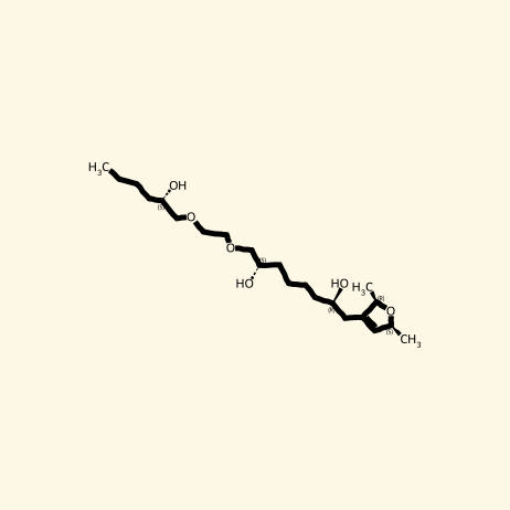 CCCC[C@H](O)COCCOC[C@@H](O)CCCC[C@@H](O)CC1=C[C@H](C)O[C@@H]1C